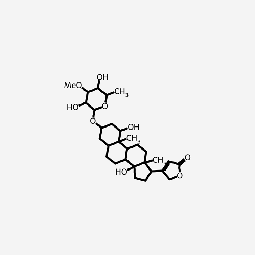 COC1C(O)C(C)OC(OC2CC(O)C3(C)C(CCC4C3CCC3(C)C(C5=CC(=O)OC5)CCC43O)C2)C1O